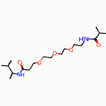 CC(C)C(=O)NCCOCCOCCOCCC(=O)NC(C)C(C)C